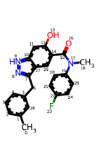 Cc1cccc(Cc2n[nH]c3cc(O)c(C(=O)N(C)c4ccc(F)cc4)cc23)c1